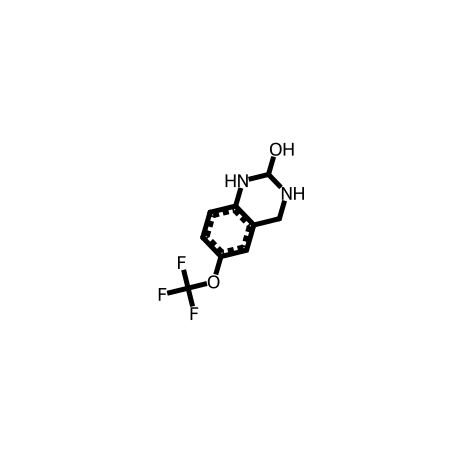 OC1NCc2cc(OC(F)(F)F)ccc2N1